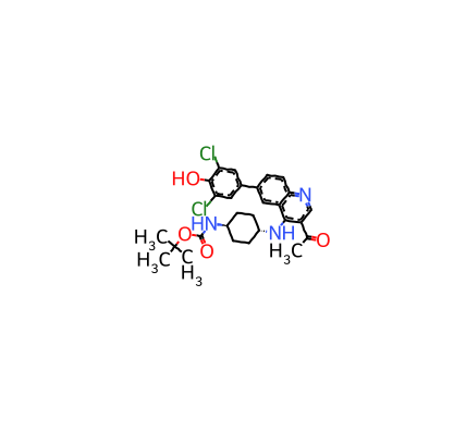 CC(=O)c1cnc2ccc(-c3cc(Cl)c(O)c(Cl)c3)cc2c1N[C@H]1CC[C@H](NC(=O)OC(C)(C)C)CC1